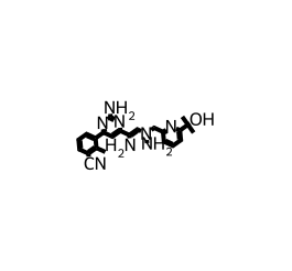 Cc1c(C#N)cccc1-c1cc(/C(N)=C/N(N)Cc2cccc(C(C)(C)O)n2)nc(N)n1